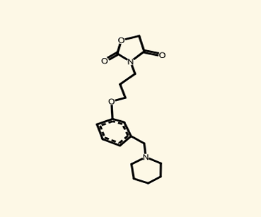 O=C1COC(=O)N1CCCOc1cccc(CN2CCCCC2)c1